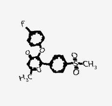 Cc1cc(=O)c(Oc2ccc(F)cc2)c(-c2ccc(S(C)(=O)=O)cc2)o1